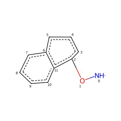 [NH]Oc1cccc2ccccc12